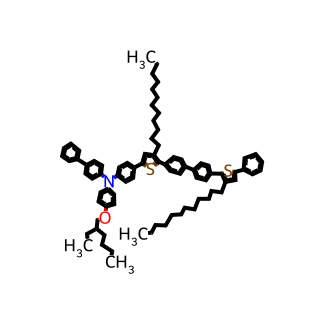 CCCCCCCCCCCCc1cc(-c2ccccc2)sc1-c1ccc(-c2ccc(-c3sc(-c4ccc(N(c5ccc(OCC(CC)CCCC)cc5)c5ccc(-c6ccccc6)cc5)cc4)cc3CCCCCCCCCCCC)cc2)cc1